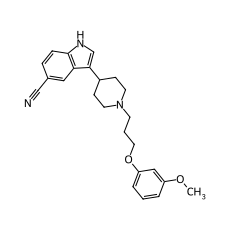 COc1cccc(OCCCN2CCC(c3c[nH]c4ccc(C#N)cc34)CC2)c1